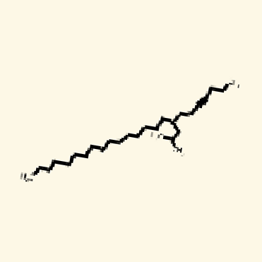 [CH2]CCC#CCCC(CCCCCCCCCCCCCCC[CH2])CC(C)C